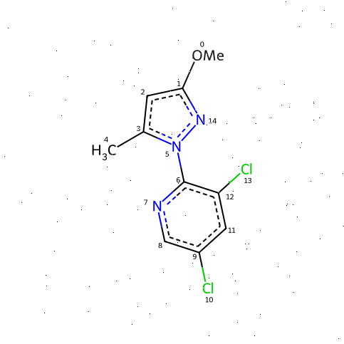 COc1cc(C)n(-c2ncc(Cl)cc2Cl)n1